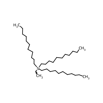 C=C[Si](CCCCCCCCCCC)(CCCCCCCCCCC)CCCCCCCCCCC